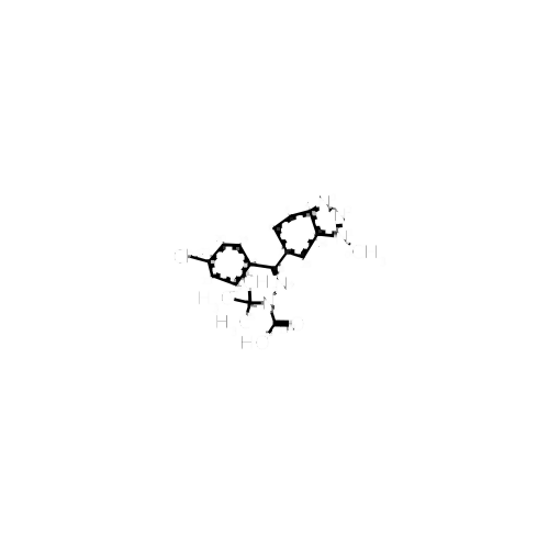 Cn1nnc2ccc(C(=NN(C(=O)O)C(C)(C)C)c3ccc(Cl)cc3)cc21